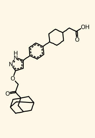 O=C(O)CC1CCC(c2ccc(-c3cc(OCC(=O)C45CC6CC(CC(C6)C4)C5)n[nH]3)cc2)CC1